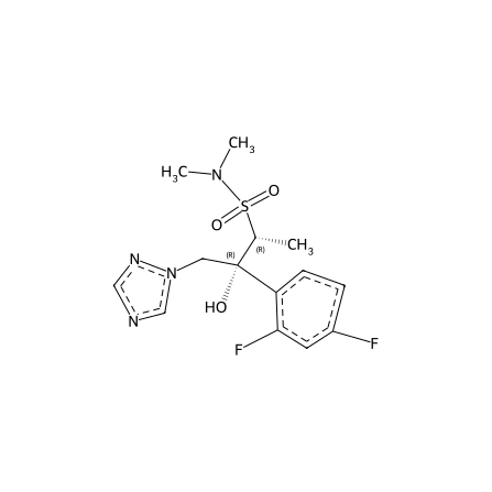 C[C@H]([C@](O)(Cn1cncn1)c1ccc(F)cc1F)S(=O)(=O)N(C)C